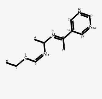 CCS/C=N\C(C)/N=C(\C)c1cncnc1